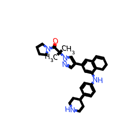 CC(C)(C(=O)N1CCCC1)n1cc(-c2cc3c(c(Nc4ccc(C5CCNCC5)cc4)c2)CCC=C3)cn1